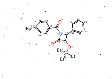 CC[Si](CC)(CC)OC1C(=O)N(C(=O)c2ccc(C(C)(C)C)cc2)C1c1ccccc1